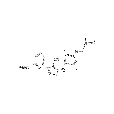 CCN(C)C=Nc1cc(C)c(Oc2snc(-c3cccc(OC)c3)c2C#N)cc1C